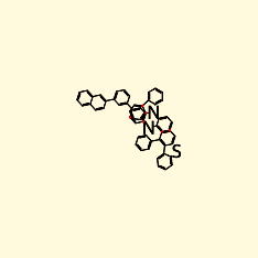 c1cc(-c2ccc(N(c3ccccc3-c3cccc4sc5ccccc5c34)c3ccccc3-n3c4ccccc4c4ccccc43)cc2)cc(-c2ccc3ccccc3c2)c1